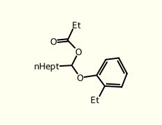 CCCCCCCC(OC(=O)CC)Oc1ccccc1CC